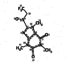 Cn1c(=O)c2c(nc([S+]([O-])CC(F)(F)F)n2C)n(C)c1=O